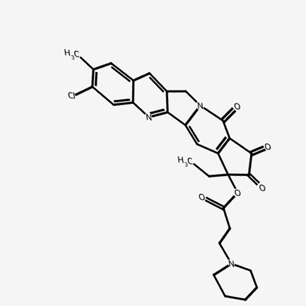 CCC1(OC(=O)CCN2CCCCC2)C(=O)C(=O)c2c1cc1n(c2=O)Cc2cc3cc(C)c(Cl)cc3nc2-1